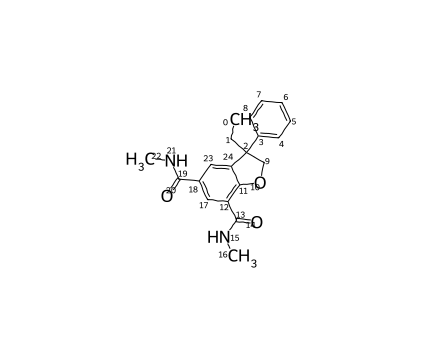 CCC1(c2ccccc2)COc2c(C(=O)NC)cc(C(=O)NC)cc21